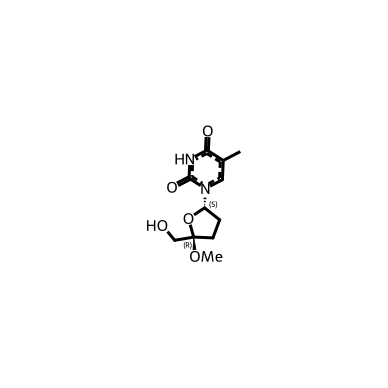 CO[C@]1(CO)CC[C@@H](n2cc(C)c(=O)[nH]c2=O)O1